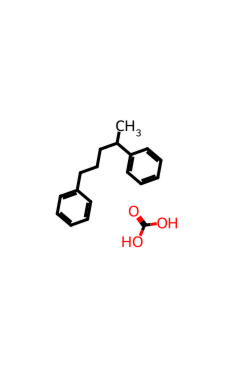 CC(CCCc1ccccc1)c1ccccc1.O=C(O)O